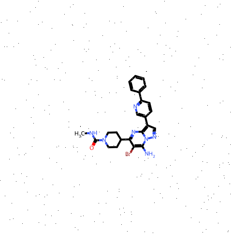 CNC(=O)N1CCC(c2nc3c(-c4ccc(-c5ccccc5)nc4)cnn3c(N)c2Br)CC1